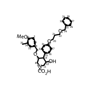 COc1ccc(COC2CN(C(=O)O)CC(O)C2c2ccc(OCCCOCc3ccccc3)cc2)cc1C